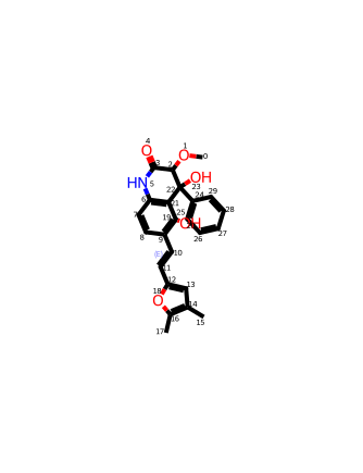 COC1C(=O)Nc2ccc(/C=C/c3cc(C)c(C)o3)c(O)c2C1(O)c1ccccc1